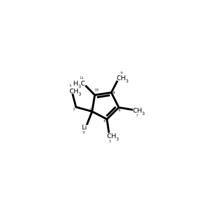 [Li][C]1(CC)C(C)=C(C)C(C)=C1C